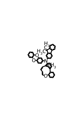 Cc1c2ccc(N(c3ccc4c(c3)Oc3ccccc3O4)c3ccc4c(c3)C(C)(C)c3ccccc3-4)c1/C=C\C=C\Oc1ccccc1-2